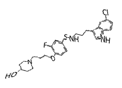 OC1CCN(CCCOc2ccc(SNCCCc3c[nH]c4ccc(Cl)cc34)cc2F)CC1